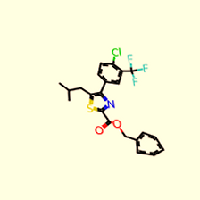 CC(C)Cc1sc(C(=O)OCc2ccccc2)nc1-c1ccc(Cl)c(C(F)(F)F)c1